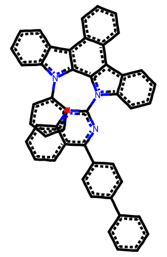 c1ccc(-c2ccc(-c3nc(-n4c5ccccc5c5c6ccccc6c6c7ccccc7n(-c7ccccc7)c6c54)nc4ccccc34)cc2)cc1